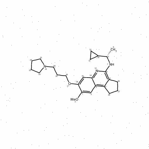 COc1cc2c3c(c(N[C@@H](C)C4CC4)nc2cc1OCCCN1CCCC1)CCC3